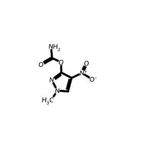 Cn1cc([N+](=O)[O-])c(OC(N)=O)n1